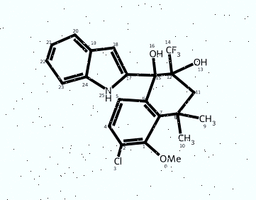 COc1c(Cl)ccc2c1C(C)(C)CC(O)(C(F)(F)F)C2(O)c1cc2ccccc2[nH]1